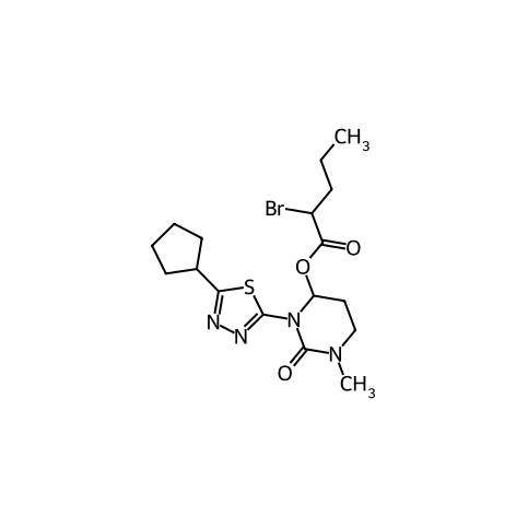 CCCC(Br)C(=O)OC1CCN(C)C(=O)N1c1nnc(C2CCCC2)s1